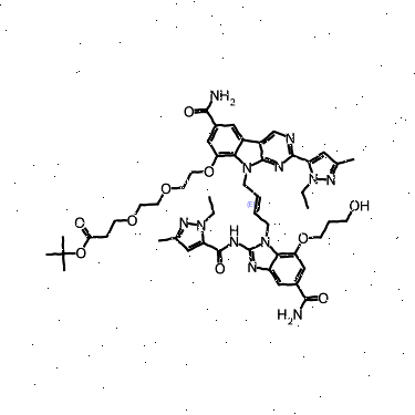 CCn1nc(C)cc1C(=O)Nc1nc2cc(C(N)=O)cc(OCCCO)c2n1C/C=C/Cn1c2nc(-c3cc(C)nn3CC)ncc2c2cc(C(N)=O)cc(OCCOCCOCCC(=O)OC(C)(C)C)c21